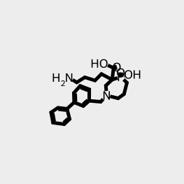 NCCCCC1(C(=O)O)CN(Cc2cccc(-c3ccccc3)c2)CCCP1(=O)O